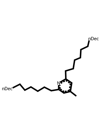 CCCCCCCCCCCCCCCCc1cc(C)cc(CCCCCCCCCCCCCCCC)n1